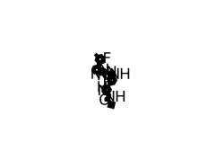 Cc1cc(F)cc(-c2ccnc3[nH]c(-c4n[nH]c5ccc(-c6cncc(NC(=O)C7CCC7)c6)nc45)nc23)c1